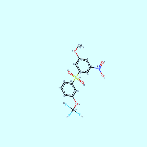 COc1cc([N+](=O)[O-])cc(S(=O)(=O)c2cccc(OC(F)(F)F)c2)c1